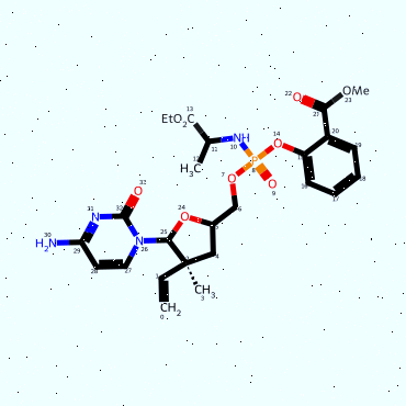 C=C[C@]1(C)CC(COP(=O)(NC(C)C(=O)OCC)Oc2ccccc2C(=O)OC)OC1n1ccc(N)nc1=O